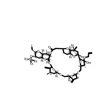 C=CCOC1(O)C[C@@]2(C)CC[C@H]3CC(=C)[C@H](CC[C@H]4C[C@@H](C)C(=C)C(C[C@@H]5O[C@H]6C[C@@H](O[Si](CC)(CC)CC)[C@@H](CI)O[C@H]6[C@H](C)[C@H]5OC(=O)CC5CC[C@@H]6O[C@H](C[C@@H](C)[C@H]6O5)C1O2)O4)O3